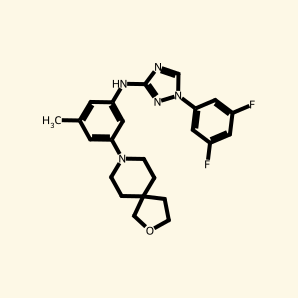 Cc1cc(Nc2ncn(-c3cc(F)cc(F)c3)n2)cc(N2CCC3(CCOC3)CC2)c1